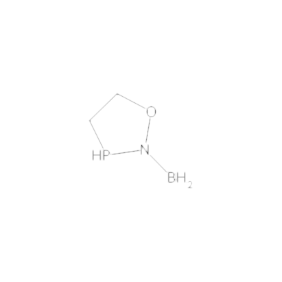 BN1OCCP1